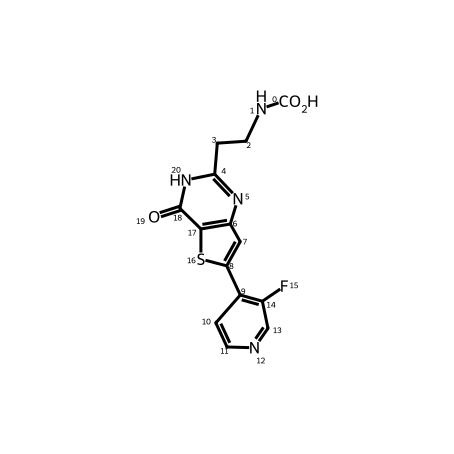 O=C(O)NCCc1nc2cc(-c3ccncc3F)sc2c(=O)[nH]1